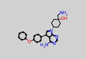 NC[C@]1(O)CC[C@H](n2cc(-c3ccc(Oc4ccccc4)cc3)c3c(N)ncnc32)CC1